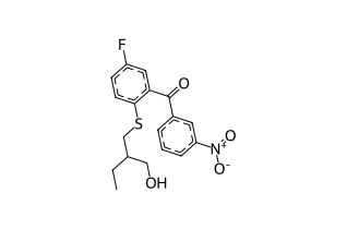 CCC(CO)CSc1ccc(F)cc1C(=O)c1cccc([N+](=O)[O-])c1